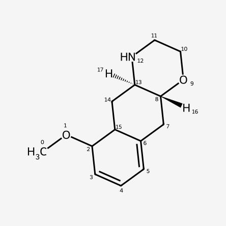 COC1C=CC=C2C[C@H]3OCCN[C@@H]3CC21